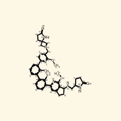 COc1nc(-c2cccc(-c3cccc(-c4cc5c(c(OC)n4)C(NCC4CCC(=O)N4)CC5)c3F)c2C)cnc1CN1CC2(CCC(=O)N2)C1